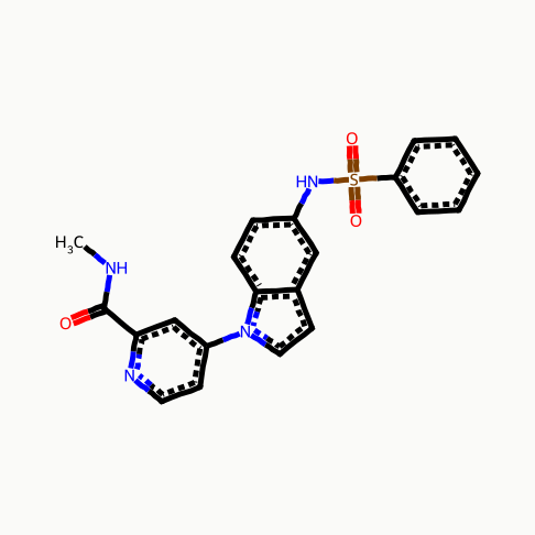 CNC(=O)c1cc(-n2ccc3cc(NS(=O)(=O)c4ccccc4)ccc32)ccn1